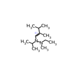 CCN(C)N(/C=C(\C)C(C)C)C(C)C